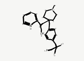 CN1CCC(c2ccc(C(F)(F)F)cc2)(C(O)c2ccccn2)CC1